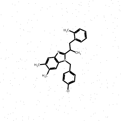 Cc1cc2nc(C(C)Cc3ccccc3C)n(Cc3ccc(Cl)cc3)c2cc1C